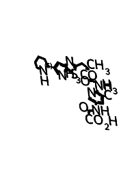 Cc1cc(NC(=O)C(=O)O)cnc1NC(=O)OC(C)(C)Cc1nc2cc([C@@H]3CCCCN3)cnc2s1